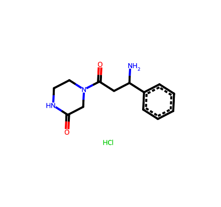 Cl.NC(CC(=O)N1CCNC(=O)C1)c1ccccc1